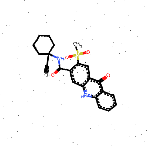 C#CC1(NC(=O)c2cc3[nH]c4ccccc4c(=O)c3cc2S(C)(=O)=O)CCCCC1